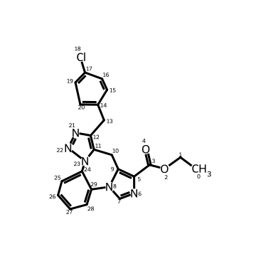 CCOC(=O)c1ncn2c1Cc1c(Cc3ccc(Cl)cc3)nnn1-c1ccccc1-2